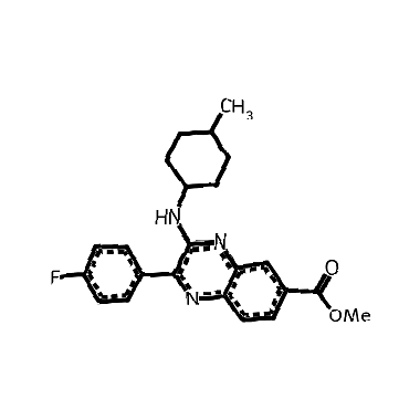 COC(=O)c1ccc2nc(-c3ccc(F)cc3)c(NC3CCC(C)CC3)nc2c1